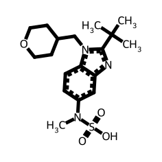 CN(c1ccc2c(c1)nc(C(C)(C)C)n2CC1CCOCC1)S(=O)(=O)O